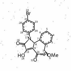 COCc1ccccc1C1C(C(=O)C(C)C)=C(O)C(=O)N1c1ccc(Br)cc1